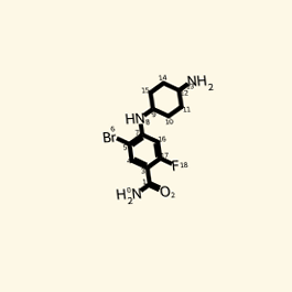 NC(=O)c1cc(Br)c(NC2CCC(N)CC2)cc1F